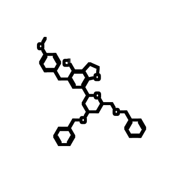 COc1ccc(Cc2cc(C3CC(OCc4ccccc4)CC(COCc4ccccc4)O3)c3c(c2Cl)CCO3)cc1